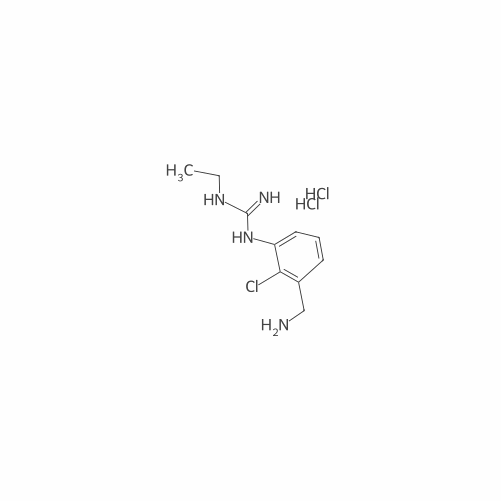 CCNC(=N)Nc1cccc(CN)c1Cl.Cl.Cl